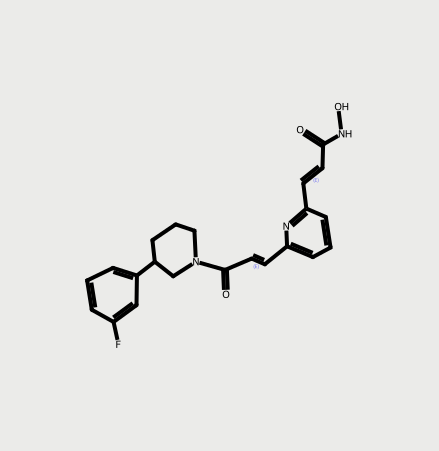 O=C(/C=C/c1cccc(/C=C/C(=O)N2CCCC(c3cccc(F)c3)C2)n1)NO